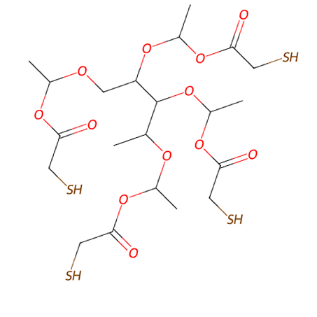 CC(OCC(OC(C)OC(=O)CS)C(OC(C)OC(=O)CS)C(C)OC(C)OC(=O)CS)OC(=O)CS